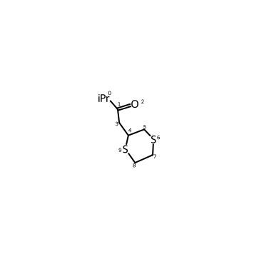 CC(C)C(=O)CC1CSCCS1